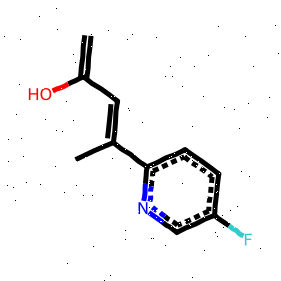 C=C(O)/C=C(\C)c1ccc(F)cn1